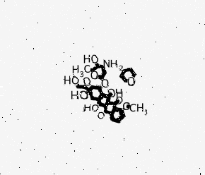 C1CCOCC1.COc1cccc2c1C(=O)c1c(O)c3c(c(O)c1C2=O)C[C@@](O)(C(=O)CO)C[C@@H]3OC1CC(N)C(O)C(C)O1